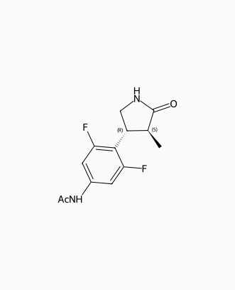 CC(=O)Nc1cc(F)c([C@@H]2CNC(=O)[C@H]2C)c(F)c1